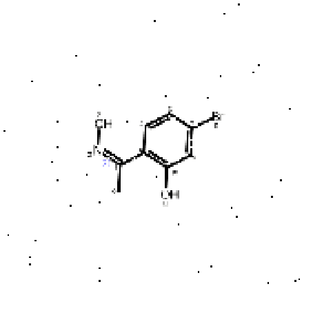 C/C(=N/O)c1ccc(Br)cc1O